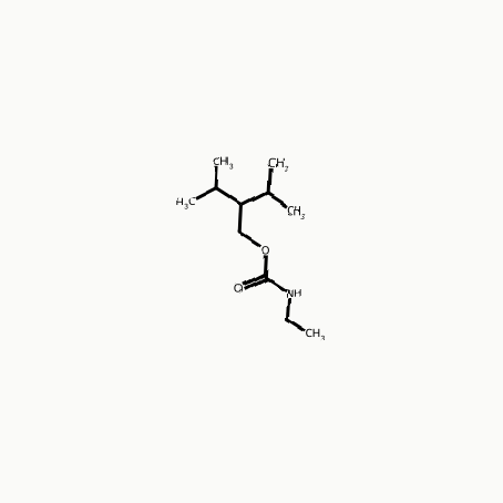 CCNC(=O)OCC(C(C)C)C(C)C